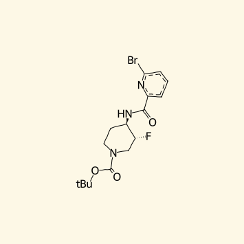 CC(C)(C)OC(=O)N1CC[C@@H](NC(=O)c2cccc(Br)n2)[C@H](F)C1